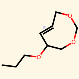 CCCOC1/C=C/COCOC1